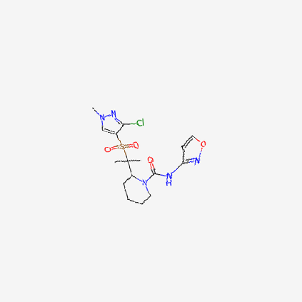 Cn1cc(S(=O)(=O)C(C)(C)C2CCCCN2C(=O)Nc2ccon2)c(Cl)n1